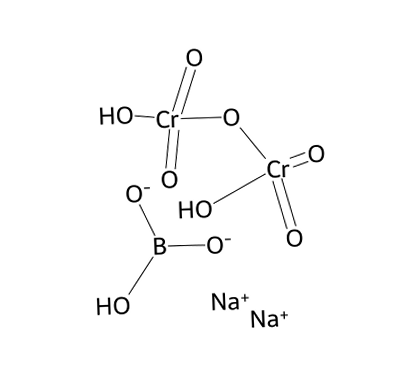 [Na+].[Na+].[O-]B([O-])O.[O]=[Cr](=[O])([OH])[O][Cr](=[O])(=[O])[OH]